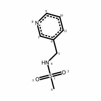 CS(=O)(=O)NCc1[c]nccc1